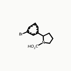 O=C(O)N1CCCC1c1cccc(Br)c1